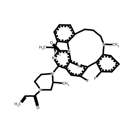 C=CC(=O)N1CCN(c2nc(=O)n3c4nc(c(F)cc24)-c2c(F)cccc2N(C)CCCc2cccc(C(C)C)c2-3)C(C)C1